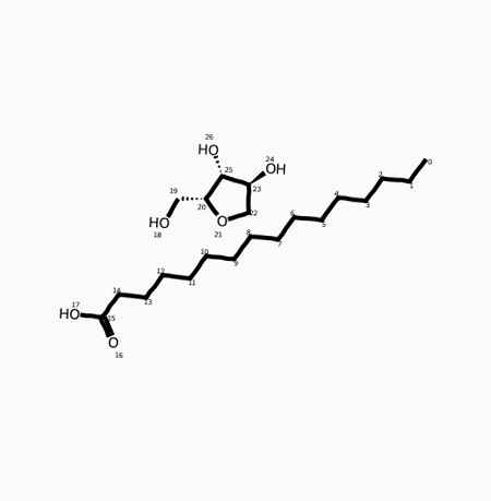 CCCCCCCCCCCCCCCC(=O)O.OC[C@H]1OC[C@H](O)[C@H]1O